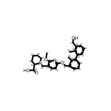 COc1nc(OCc2cccc(-c3cccc(CO)c3C)c2C)ccc1CN1CCCCC1C(=O)O